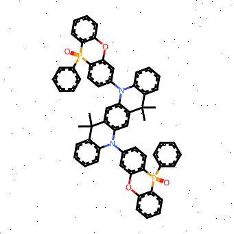 CC1(C)c2ccccc2N(c2ccc3c(c2)Oc2ccccc2P3(=O)c2ccccc2)c2cc3c(cc21)N(c1ccc2c(c1)Oc1ccccc1P2(=O)c1ccccc1)c1ccccc1C3(C)C